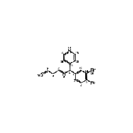 Fc1ccc(C(N=CCC=S)c2ccncc2)cc1Br